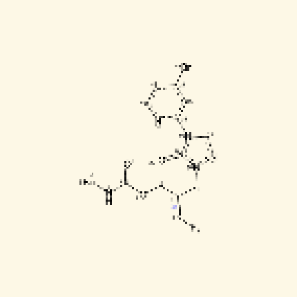 CC(C)(C)NC(=O)OC/C(=C/F)Cn1ncn(-c2cc(Br)ccn2)c1=O